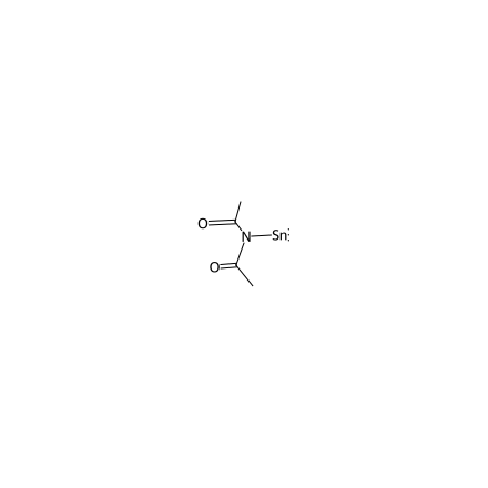 CC(=O)[N]([Sn])C(C)=O